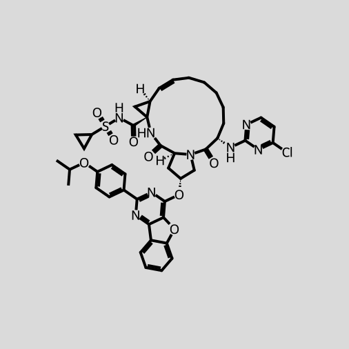 CC(C)Oc1ccc(-c2nc(O[C@@H]3C[C@H]4C(=O)N[C@]5(C(=O)NS(=O)(=O)C6CC6)C[C@H]5/C=C\CCCCC[C@H](Nc5nccc(Cl)n5)C(=O)N4C3)c3oc4ccccc4c3n2)cc1